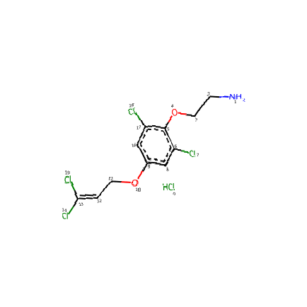 Cl.NCCOc1c(Cl)cc(OCC=C(Cl)Cl)cc1Cl